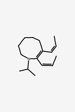 C\C=C/C1=C(\C=C/C)N(C(C)C)CCCCC1